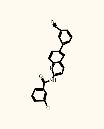 N#Cc1cccc(-c2ccc3nc(NC(=O)c4cccc(Cl)c4)ccc3c2)c1